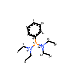 CCN(CC)P(c1ccccc1)N(CC)CC